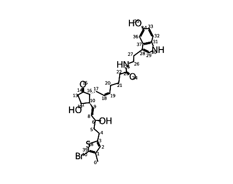 Cc1cc(CC[C@H](O)/C=C/[C@H]2[C@H](O)CC(=O)[C@@H]2C/C=C\CCCC(=O)NCCc2c[nH]c3ccc(O)cc23)sc1Br